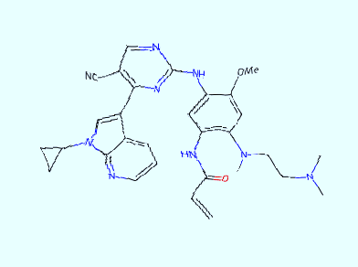 C=CC(=O)Nc1cc(Nc2ncc(C#N)c(-c3cn(C4CC4)c4ncccc34)n2)c(OC)cc1N(C)CCN(C)C